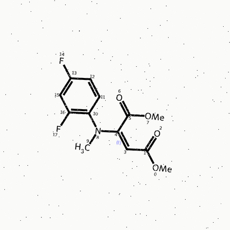 COC(=O)/C=C(\C(=O)OC)N(C)c1ccc(F)cc1F